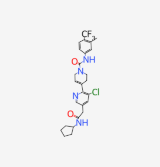 Cc1cc(NC(=O)N2CC=C(c3ncc(CC(=O)NC4CCCC4)cc3Cl)CC2)ccc1C(F)(F)F